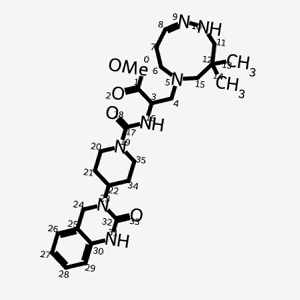 COC(=O)C(CN1CC/C=N\NCC(C)(C)C1)NC(=O)N1CCC(N2Cc3ccccc3NC2=O)CC1